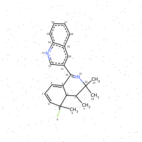 CC1C2C(=CC=CC2(C)F)C(c2cnc3ccccc3c2)=NC1(C)C